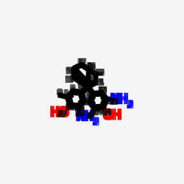 Cc1cc(C2(c3cc(C)c(O)c(N)c3)C3CC4CC(C3)CC2C4)cc(N)c1O